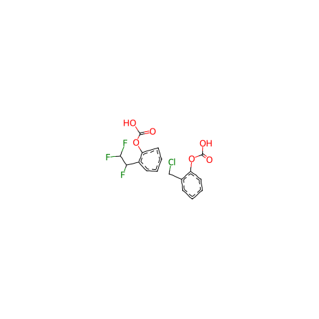 O=C(O)Oc1ccccc1C(F)C(F)F.O=C(O)Oc1ccccc1CCl